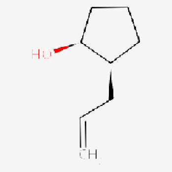 C=CC[C@@H]1CCC[C@@H]1O